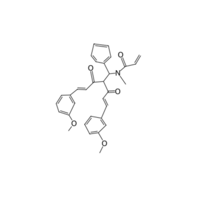 C=CC(=O)N(C)C(c1ccccc1)C(C(=O)/C=C/c1cccc(OC)c1)C(=O)/C=C/c1cccc(OC)c1